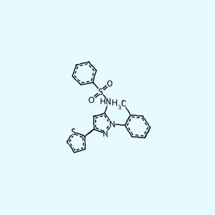 Cc1ccccc1-n1nc(-c2cccs2)cc1NS(=O)(=O)c1ccccc1